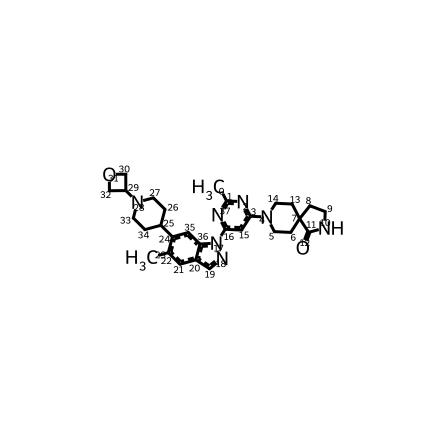 Cc1nc(N2CCC3(CCNC3=O)CC2)cc(-n2ncc3cc(C)c(C4CCN(C5COC5)CC4)cc32)n1